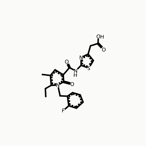 CCc1c(C)cc(C(=O)Nc2nc(CC(=O)O)cs2)c(=O)n1Cc1ccccc1F